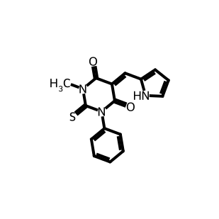 CN1C(=O)/C(=C/c2ccc[nH]2)C(=O)N(c2ccccc2)C1=S